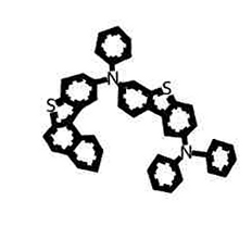 c1ccc(N(c2ccccc2)c2ccc3sc4cc(N(c5ccccc5)c5ccc6sc7ccc8ccccc8c7c6c5)ccc4c3c2)cc1